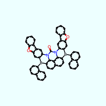 O=C1N2c3cc4c(cc3B(c3cccc5ccccc35)c3ccc5ccc6c(c5c32)N1c1cc2c(cc1B6c1cccc3ccccc13)oc1ccccc12)oc1ccccc14